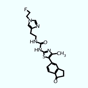 Cc1nc(NC(=O)NCCc2cn(CCF)cn2)sc1-c1ccc2c(c1)CCC2=O